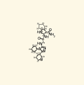 NC(=O)c1c(NC(=O)CNc2nnc(-c3cccnc3)n2-c2ccccc2)[nH]c2c1CCCC2